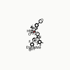 CCP(=O)(CC)c1cc(F)c(-n2ccn(-c3c4c(nn3-c3cc(C)c(F)c(C)c3)CCN(C(=O)c3cc5cc(C6CCOCC6)ccc5n3[C@@]3(c5noc(=O)[nH]5)C[C@@H]3C)[C@H]4C)c2=O)cc1NC